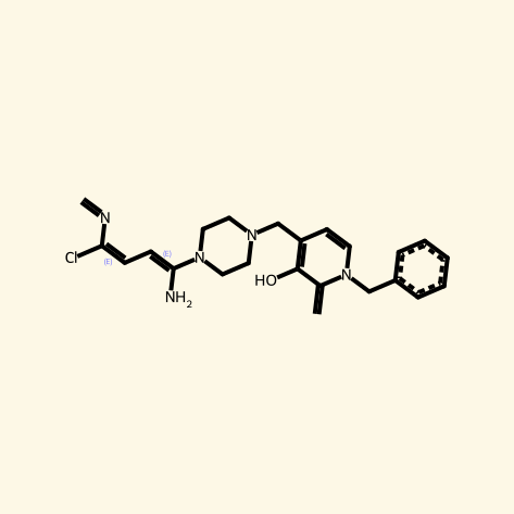 C=N/C(Cl)=C\C=C(/N)N1CCN(CC2=C(O)C(=C)N(Cc3ccccc3)C=C2)CC1